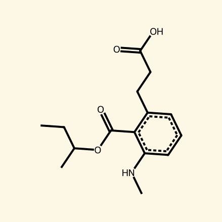 CCC(C)OC(=O)c1c(CCC(=O)O)cccc1NC